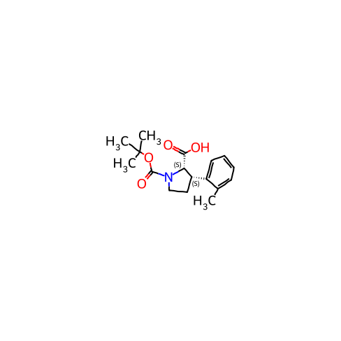 Cc1ccccc1[C@@H]1CCN(C(=O)OC(C)(C)C)[C@@H]1C(=O)O